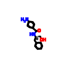 Nc1ccc(C(=O)N[C@H](CO)Cc2ccccc2)cc1